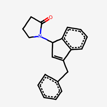 O=C1CCCN1C1C=C(Cc2ccccc2)c2ccccc21